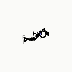 C=C1/N=C2\Nc3ccc(CN4CC5(CCN(CCc6cc(F)cc(F)c6)CC5)C4)cc3N2C[C@H](C)CCCCc2c(cnn2C)-c2cc1cc(C)n2